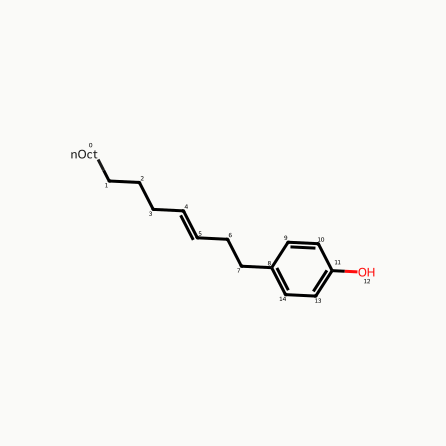 CCCCCCCCCCCC=CCCc1ccc(O)cc1